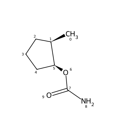 C[C@@H]1CCC[C@@H]1OC(N)=O